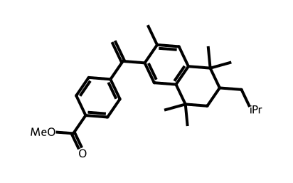 C=C(c1ccc(C(=O)OC)cc1)c1cc2c(cc1C)C(C)(C)C(CC(C)C)CC2(C)C